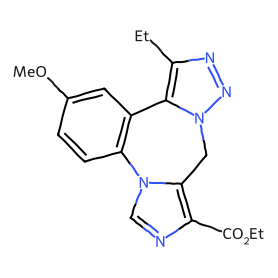 CCOC(=O)c1ncn2c1Cn1nnc(CC)c1-c1cc(OC)ccc1-2